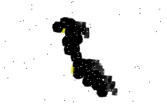 C=Cc1c(-c2ccccc2)ccc(-c2c3ccccc3c(-c3ccc4c(c3)C(C)(C)c3ccc5c(-c6ccc(-c7ccc(-c8c9ccccc9c(-c9ccc%10c(c9)C(C)(C)c9ccc%11ccc%12c%13ccccc%13sc%12c%11c9-%10)c9ccccc89)c8ccccc78)cc6)cc6sc7ccccc7c6c5c3-4)c3ccccc23)c1C=C